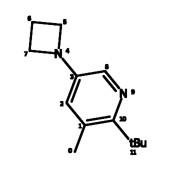 Cc1cc(N2CCC2)cnc1C(C)(C)C